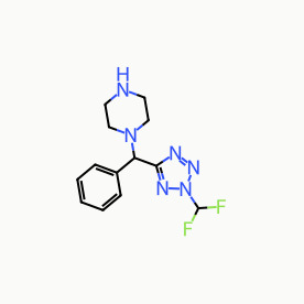 FC(F)n1nnc(C(c2ccccc2)N2CCNCC2)n1